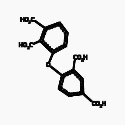 O=C(O)c1ccc(Oc2cccc(C(=O)O)c2C(=O)O)c(C(=O)O)c1